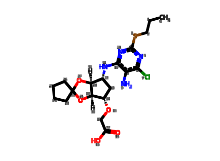 CCCSc1nc(Cl)c(N)c(N[C@@H]2C[C@H](OCC(=O)O)[C@H]3OC4(CCCC4)O[C@H]32)n1